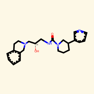 O=C(NC[C@H](O)CN1CCc2ccccc2C1)N1CCCC(c2cccnc2)C1